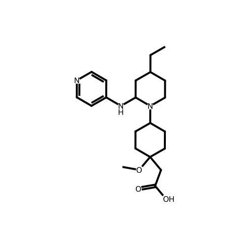 CCC1CCN(C2CCC(CC(=O)O)(OC)CC2)C(Nc2ccncc2)C1